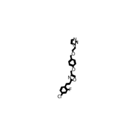 Fc1cc(Cl)ccc1C=Cc1nc(COc2ccc(COCCn3ccnn3)cc2)co1